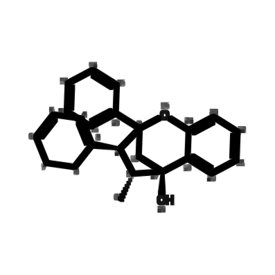 C[C@@H]1[C@@H](C2=CC=CCC2)C2(c3ccccc3)C[C@]1(O)c1ccccc1O2